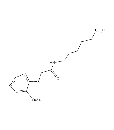 COc1ccccc1SCC(=O)NCCCCCC(=O)O